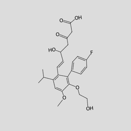 COc1cc(C(C)C)c(/C=C/C(O)CC(=O)CC(=O)O)c(-c2ccc(F)cc2)c1OCCO